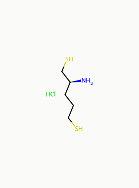 Cl.N[C@H](CS)CCCS